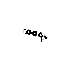 CCC[Si@H]1CC[C@H](c2ccc(-c3ccc(F)c(F)c3)cc2)CC1